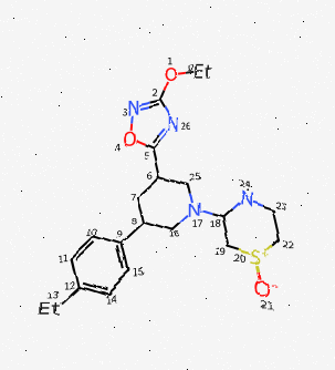 CCOc1noc(C2CC(c3ccc(CC)cc3)CN(C3C[S+]([O-])CC[N]3)C2)n1